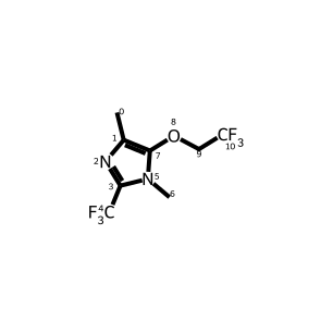 Cc1nc(C(F)(F)F)n(C)c1OCC(F)(F)F